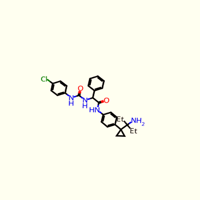 CCC(N)(CC)C1(c2ccc(NC(=O)C(NC(=O)Nc3ccc(Cl)cc3)c3ccccc3)cc2)CC1